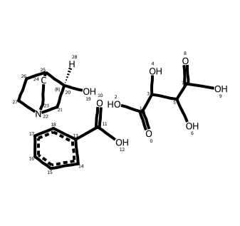 O=C(O)C(O)C(O)C(=O)O.O=C(O)c1ccccc1.O[C@H]1CN2CCC1CC2